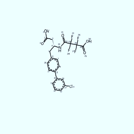 O=C(O)C[C@@H](Cc1ccc(-c2cccc(Cl)c2)cc1)NC(=O)C(F)(F)C(F)(F)C(=O)O